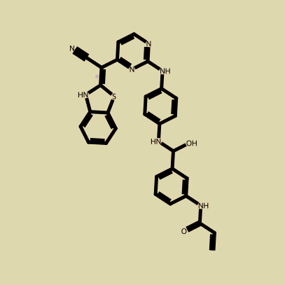 C=CC(=O)Nc1cccc(C(O)Nc2ccc(Nc3nccc(/C(C#N)=C4/Nc5ccccc5S4)n3)cc2)c1